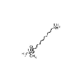 CNCCCCCCCCCCC(=O)OC(C)(C)C